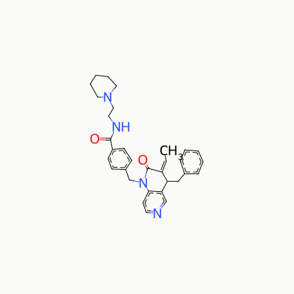 CC=C1C(=O)N(Cc2ccc(C(=O)NCCN3CCCCC3)cc2)c2ccncc2C1Cc1ccccc1